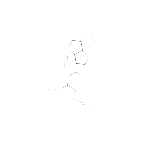 O=[N+]([O-])OCC(CC(O)[C@]1(O)CO[C@@H]2[C@@H](O)CO[C@@H]21)S(=O)(=O)O